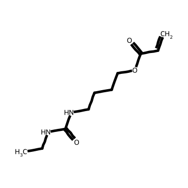 C=CC(=O)OCCCCNC(=O)NCC